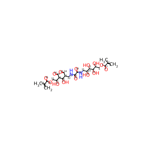 C=C(C)C(=O)OCC(O)C(O)C(O)C(O)CNC(=O)C(=O)NCC(C=O)C(O)C(C=O)C(O)COC(=O)C(=C)C